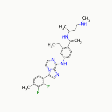 C=C(NC(C)CCNC)c1ccc(Nc2nccn3c(-c4ccc(C)c(F)c4F)cnc23)cc1CC